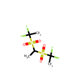 CC(S(=O)(=O)C(F)(F)C(F)(F)F)S(=O)(=O)C(F)(F)C(F)(F)F